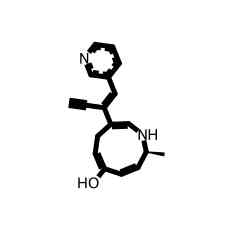 C#CC(=C\c1cccnc1)/C1=C/N[C@@H](C)/C=C\C(O)=C/C1